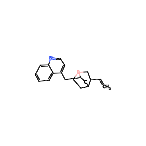 C=CC1CB2CCC1CC2Cc1ccnc2ccccc12